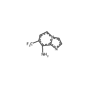 Nc1c(C(F)(F)F)ccn2ccnc12